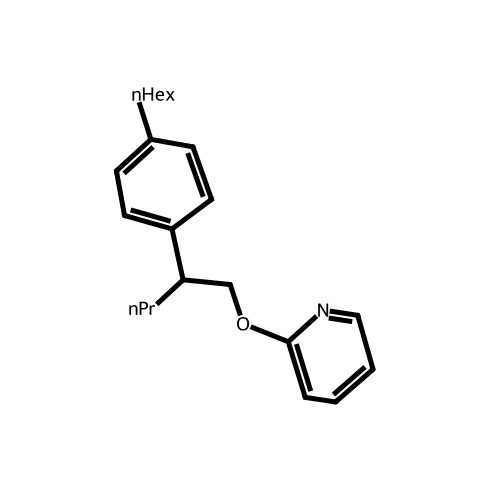 CCCCCCc1ccc(C(CCC)COc2ccccn2)cc1